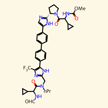 CCCN(Cc1nc(C(F)(F)F)c(-c2ccc(-c3ccc(-c4cnc([C@@H]5CCCN5C(=O)C(NC(=O)OC)C5CC5)[nH]4)cc3)cc2)[nH]1)C(=O)C(NC=O)C1CC1